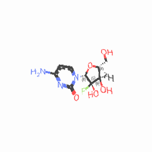 [2H][C@@]1(O)[C@@H](CO)O[C@@H](n2ccc(N)nc2=O)[C@@]1(O)F